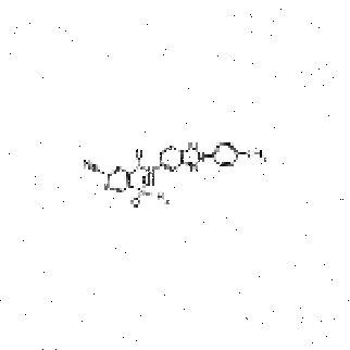 Cc1ccc(-n2nc3ccc(NC(=O)c4cc(C#N)ncc4S(C)(=O)=O)cc3n2)cc1